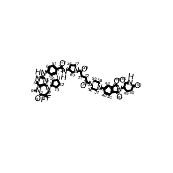 CN1C(=O)C(F)(F)CN(C2CCCC2)c2nc(Nc3ccc(C(=O)N[C@H]4CCN(C(=O)CCC(=O)N5CCN(c6ccc7c(c6)C(=O)N(C6CCC(=O)NC6=O)C7=O)CC5)C4)cc3)ncc21